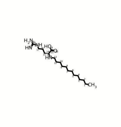 CCCCCCCCCCCCCN[C@@H](CCCNC(=N)N)C(=O)O